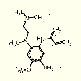 C=CC(=C)Nc1cc(N)c(OC)cc1N(C)CCN(C)C